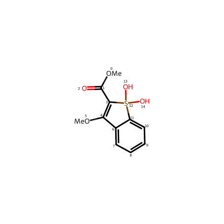 COC(=O)C1=C(OC)c2ccccc2S1(O)O